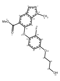 COC(=O)c1cc2cnn(C)c2cc1Oc1ccc(OCCCO)cc1F